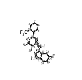 Cc1nc(-c2ccccc2C(F)(F)F)nc(Nc2n[nH]c3ccc(F)cc23)c1C